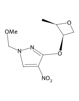 COCn1cc([N+](=O)[O-])c(O[C@@H]2CO[C@@H]2C)n1